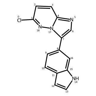 Clc1ccc2ncc(-c3ccc4cc[nH]c4c3)n2n1